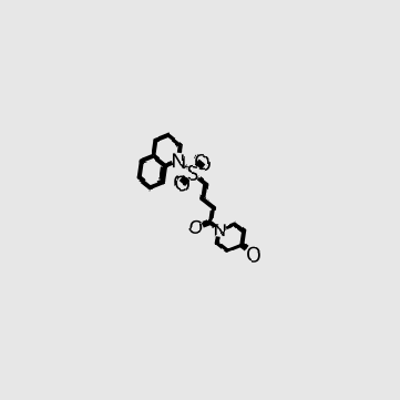 O=C1CCN(C(=O)CCCS(=O)(=O)N2CCCC3CCCC=C32)CC1